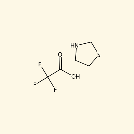 C1CSCN1.O=C(O)C(F)(F)F